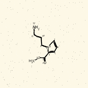 COC(=O)c1cccn1CCCN